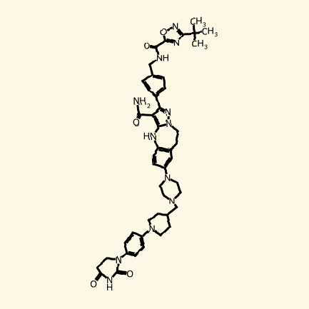 CC(C)(C)c1noc(C(=O)NCc2ccc(-c3nn4c(c3C(N)=O)Nc3ccc(N5CCN(CC6CCN(c7ccc(N8CCC(=O)NC8=O)cc7)CC6)CC5)cc3CC4)cc2)n1